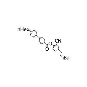 CCCCCCc1ccc(-c2ccc(C(=O)Oc3ccc(CCC(C)CC)cc3C#N)cc2)cc1